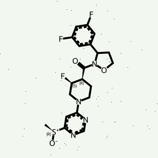 C[S@+]([O-])c1cc(N2CC[C@H](C(=O)N3OCCC3c3cc(F)cc(F)c3)[C@H](F)C2)ncn1